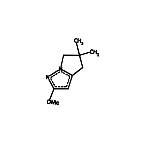 COc1cc2n(n1)CC(C)(C)C2